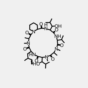 C=CC(C)CC1NC(=O)C(C(O)C(C)C)N(C)C(=O)C(C)N(C)C(=O)C(C(C)C)NC(=O)C(C(O)C(C)C)NC(=O)C2CCCCN2C(=O)C(C)N(C)C1=O